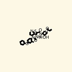 C=CC(=O)N1C[C@H](NC(=O)c2sc3nccc4c3c2NC(=O)N4c2ccc(Oc3ccccc3)cc2C)[C@@H](O)C1